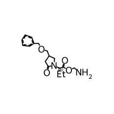 CC[C@@H](C(=O)OCN)N1CC(COCc2ccccc2)CC1=O